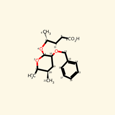 CC1O[C@@H](O[C@H](C)CCC(=O)O)C(OCc2ccccc2)C[C@H]1C